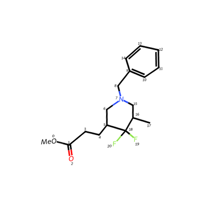 COC(=O)CCC1CN(Cc2ccccc2)CC(C)C1(F)F